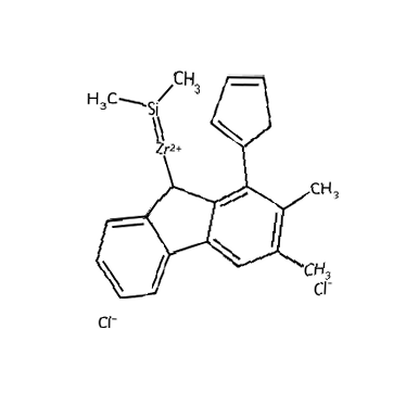 Cc1cc2c(c(C3=CC=CC3)c1C)[CH]([Zr+2]=[Si](C)C)c1ccccc1-2.[Cl-].[Cl-]